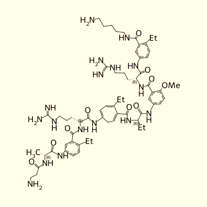 CCC1=CC=C(NC(=O)[C@@H](CCCNC(=N)N)NC(=O)c2cc(NC(=O)[C@@H](C)NC(=O)CCN)ccc2CC)CC=C1C(=O)N[C@H](CC)C(=O)Nc1ccc(OC)c(C(=O)N[C@H](CCCNC(=N)N)C(=O)Nc2ccc(CC)c(C(=O)NCCCCCN)c2)c1